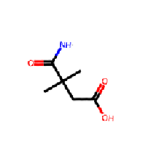 CC(C)(CC(=O)O)C([NH])=O